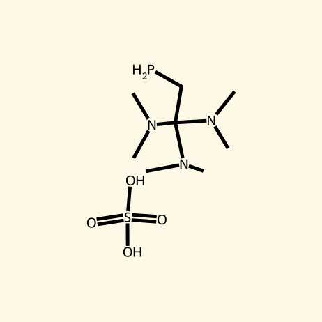 CN(C)C(CP)(N(C)C)N(C)C.O=S(=O)(O)O